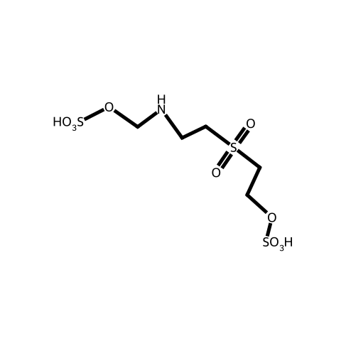 O=S(=O)(CCNCOS(=O)(=O)O)CCOS(=O)(=O)O